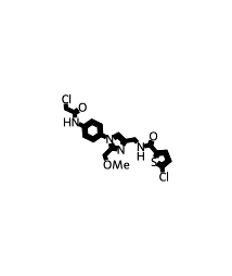 COCc1nc(CNC(=O)c2ccc(Cl)s2)cn1-c1ccc(NC(=O)CCl)cc1